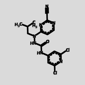 CC(C)CN(NC(=O)Nc1cc(Cl)nc(Cl)c1)c1ccnc(C#N)n1